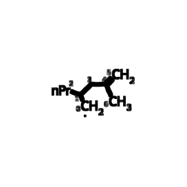 [CH2]C(CCC)CC(=C)C